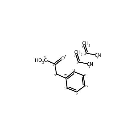 C=CC#N.C=CC#N.O=C(O)C(=O)Cc1ccccc1